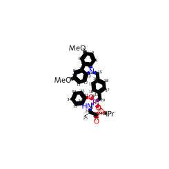 COc1ccc2c(c1)c1cc(OC)ccc1n2Cc1ccc(CP(=O)(N[C@@H](C)C(=O)OC(C)C)Oc2ccccc2)cc1